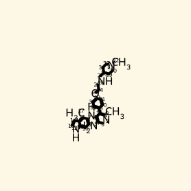 Cc1ncc(N)c(Nc2ccc3[nH]ccc3c2C)c1-c1ccc(OCCNCC2CCN(C)CC2)cc1